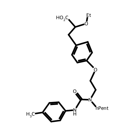 CCCCCN(CCOc1ccc(CC(OCC)C(=O)O)cc1)C(=O)Nc1ccc(C)cc1